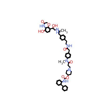 C[C@H](Cc1ccc(CCNC(=O)Cc2ccc(N(C)C(=O)CCN3CCC(OC(=O)Nc4ccccc4-c4ccccc4)CC3)cc2)cc1)NC[C@H](O)c1ccc(O)c2c1OCC(=O)N2